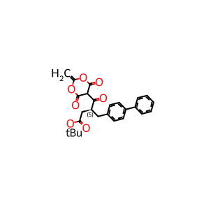 C=C1OC(=O)C(C(=O)[C@H](CC(=O)OC(C)(C)C)Cc2ccc(-c3ccccc3)cc2)C(=O)O1